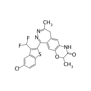 CC1=NN=C(c2sc3ccc(Cl)cc3c2C(F)F)c2cc3c(cc2C1)NC(=O)C(C)O3